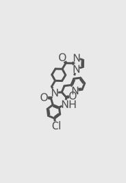 Cn1ccnc1C(=O)C1CCC(CN2C(=O)c3ccc(Cl)cc3NC(=O)C2Cc2ccccn2)CC1